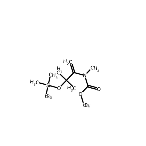 C=C(N(C)C(=O)OC(C)(C)C)C(C)(C)O[Si](C)(C)C(C)(C)C